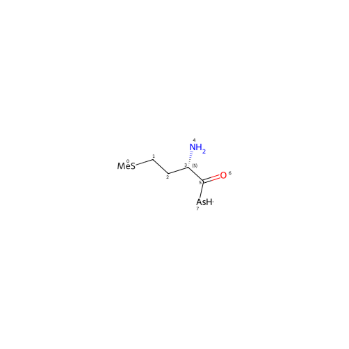 CSCC[C@H](N)C(=O)[AsH]